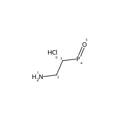 Cl.NCCP=O